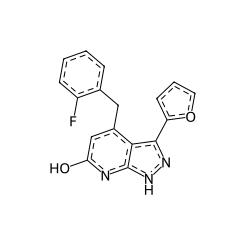 Oc1cc(Cc2ccccc2F)c2c(-c3ccco3)n[nH]c2n1